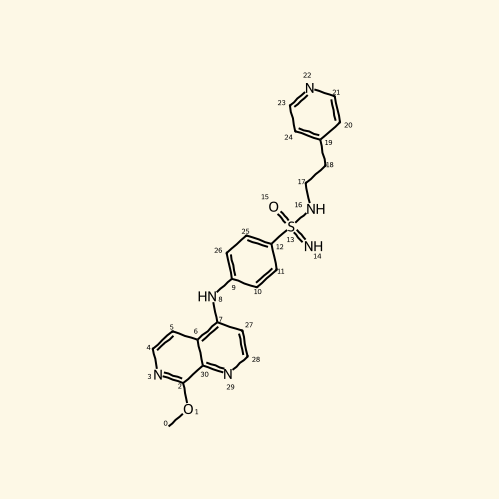 COc1nccc2c(Nc3ccc(S(=N)(=O)NCCc4ccncc4)cc3)ccnc12